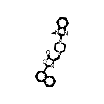 Cn1c(N2CCN(/C=C3/N=C(c4cccc5ccccc45)OC3=O)CC2)nc2ccccc21